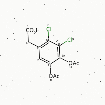 CC(=O)Oc1cc(CC(=O)O)c(Cl)c(Cl)c1OC(C)=O